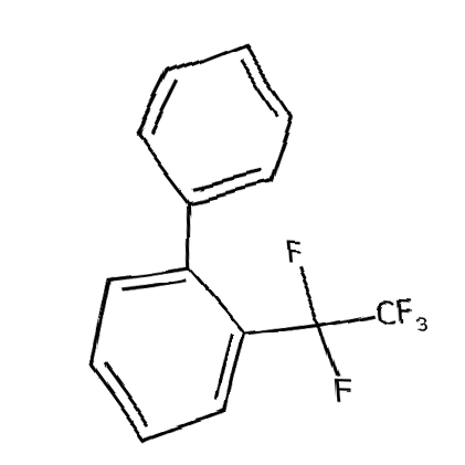 FC(F)(F)C(F)(F)c1ccccc1-c1ccccc1